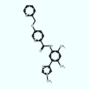 Cc1cc(C)c(-c2cn(C)cn2)cc1NC(=O)c1ccc(OCc2ccccn2)cn1